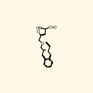 C=CC/C=c1/cccc/c1=C/C(C)COCC1=CC(C=O)NO1